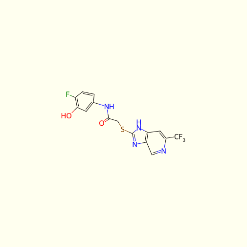 O=C(CSc1nc2cnc(C(F)(F)F)cc2[nH]1)Nc1ccc(F)c(O)c1